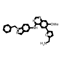 COc1cc2ncnc(Nc3ccc4c(cnn4Cc4ccccc4)c3)c2cc1-c1ccc(CN)o1